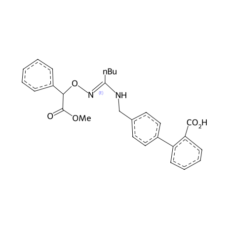 CCCC/C(=N\OC(C(=O)OC)c1ccccc1)NCc1ccc(-c2ccccc2C(=O)O)cc1